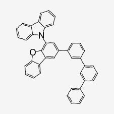 c1ccc(-c2cccc(-c3cccc(-c4cc(-n5c6ccccc6c6ccccc65)c5oc6ccccc6c5c4)c3)c2)cc1